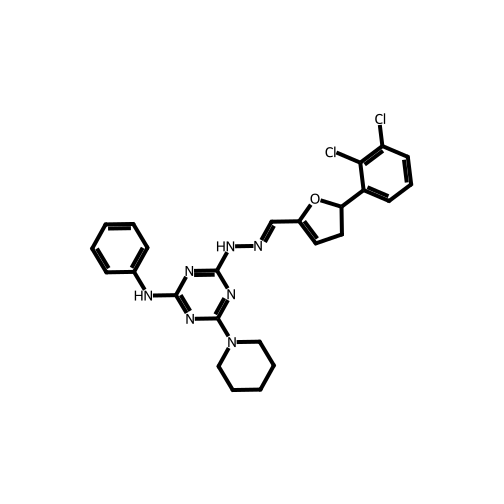 Clc1cccc(C2CC=C(/C=N/Nc3nc(Nc4ccccc4)nc(N4CCCCC4)n3)O2)c1Cl